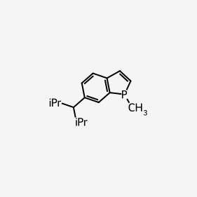 CC(C)C(c1ccc2ccp(C)c2c1)C(C)C